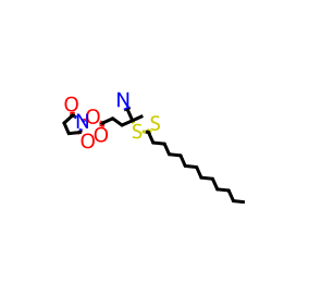 CCCCCCCCCCCCC(=S)SC(C)(C#N)CCC(=O)ON1C(=O)CCC1=O